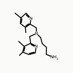 Cc1cnc(CN(CCCCN)Cc2nccc(C)c2C)c(C)c1